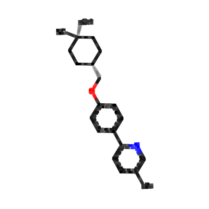 CCCCCCCC[C@]1(C#N)CC[C@H](COc2ccc(-c3ccc(CCCC)cn3)cc2)CC1